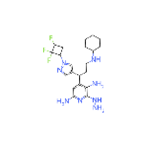 NNc1nc(N)cc(C(CCNC2CCCCC2)c2cnn(C3CC(F)C3(F)F)c2)c1N